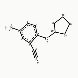 N#Cc1cc(N)ccc1OC1CCCC1